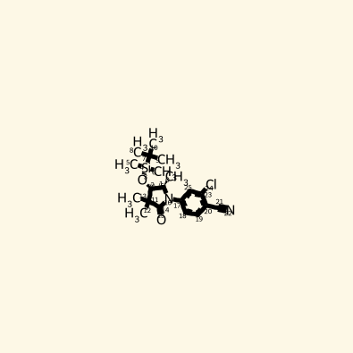 C[C@H]1[C@H](O[Si](C)(C)C(C)(C)C)C(C)(C)C(=O)N1c1ccc(C#N)c(Cl)c1